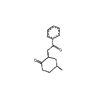 CC1CCC(=O)C(CC(=O)c2ccccc2)C1